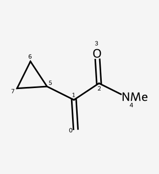 C=C(C(=O)NC)C1CC1